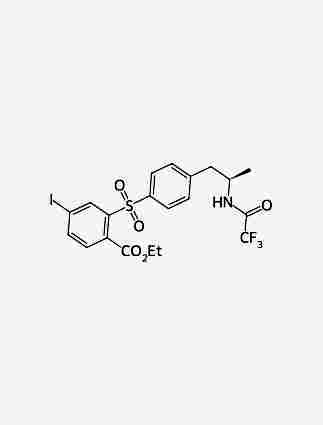 CCOC(=O)c1ccc(I)cc1S(=O)(=O)c1ccc(C[C@@H](C)NC(=O)C(F)(F)F)cc1